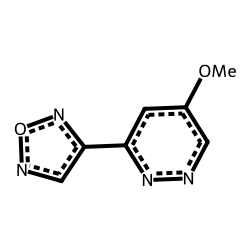 COc1cnnc(-c2cnon2)c1